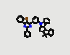 CC1(C)c2ccccc2-c2c1ccc1c2c2ccccc2n1-c1cccc(-c2nc(-c3ccccc3)nc3c2sc2ccccc23)c1